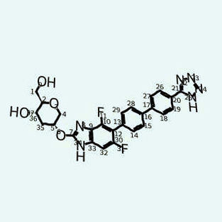 OC[C@H]1OC[C@H](Oc2nc3c(F)c(-c4ccc(-c5ccc(-c6nnn[nH]6)cc5)cc4)c(F)cc3[nH]2)C[C@@H]1O